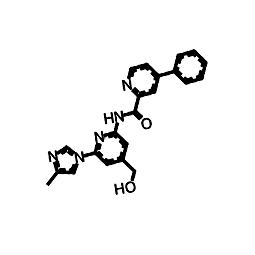 Cc1cn(-c2cc(CO)cc(NC(=O)c3cc(-c4ccccc4)ccn3)n2)cn1